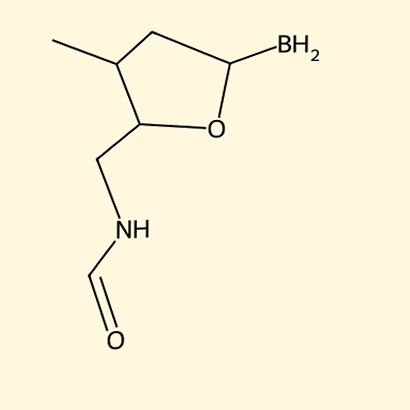 BC1CC(C)C(CNC=O)O1